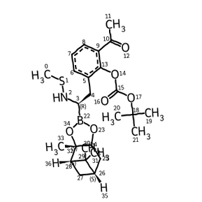 CSN[C@@H](Cc1cccc(C(C)=O)c1OC(=O)OC(C)(C)C)B1OC2C[C@@H]3C[C@@H](C3(C)C)[C@]2(C)O1